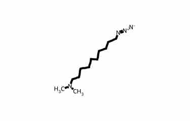 CN(C)CCCCCCCCCCN=[N+]=[N-]